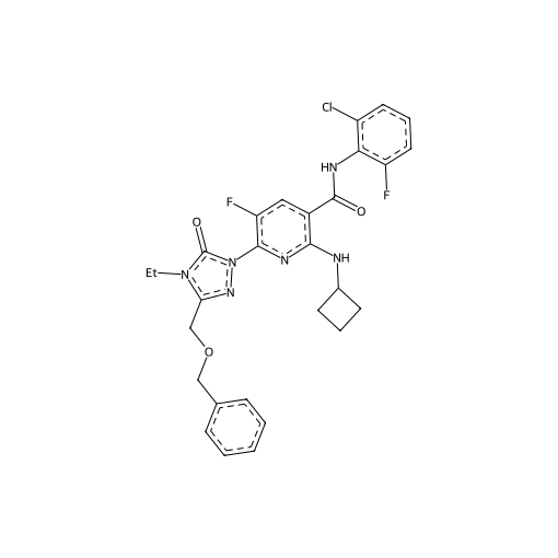 CCn1c(COCc2ccccc2)nn(-c2nc(NC3CCC3)c(C(=O)Nc3c(F)cccc3Cl)cc2F)c1=O